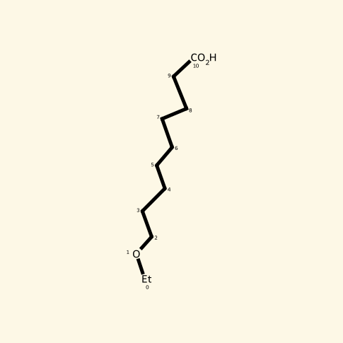 CCOCCCCCCCCC(=O)O